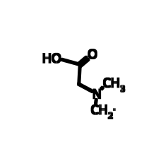 [CH2]N(C)CC(=O)O